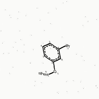 CCCCCOc1cccc(C(C)C)c1